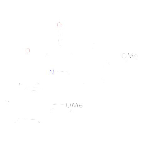 COc1ccc2c(c1)C(=O)C(=O)N2c1ccccc1OC